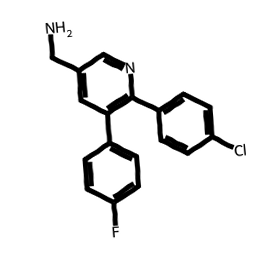 NCc1cnc(-c2ccc(Cl)cc2)c(-c2ccc(F)cc2)c1